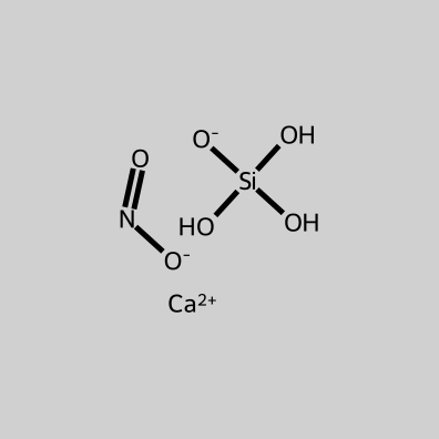 O=N[O-].[Ca+2].[O-][Si](O)(O)O